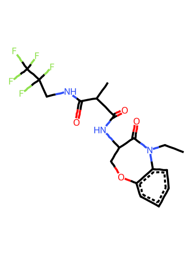 CCN1C(=O)C(NC(=O)C(C)C(=O)NCC(F)(F)C(F)(F)F)COc2ccccc21